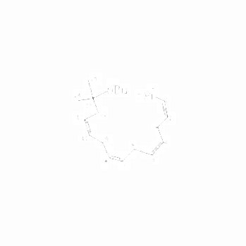 CCC/C=C\C/C=C\C/C=C\C/C=C\CC(C)(C)CCCC